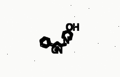 OC1CCN(CC2=NOC(c3ccccc3)C2)CC1